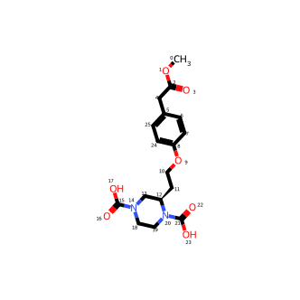 COC(=O)Cc1ccc(OCC[C@@H]2CN(C(=O)O)CCN2C(=O)O)cc1